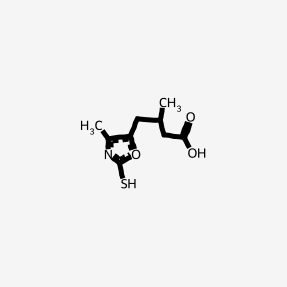 Cc1nc(S)oc1CC(C)CC(=O)O